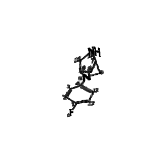 Fc1ccc(N2CC3CC2CN3)cc1